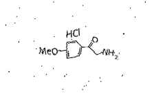 COc1ccc(C(=O)CN)cc1.Cl